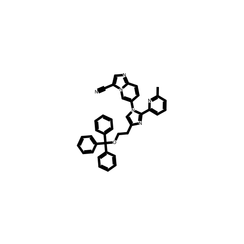 Cc1cccc(-c2nc(CCOC(c3ccccc3)(c3ccccc3)c3ccccc3)cn2-c2ccc3ncc(C#N)n3c2)n1